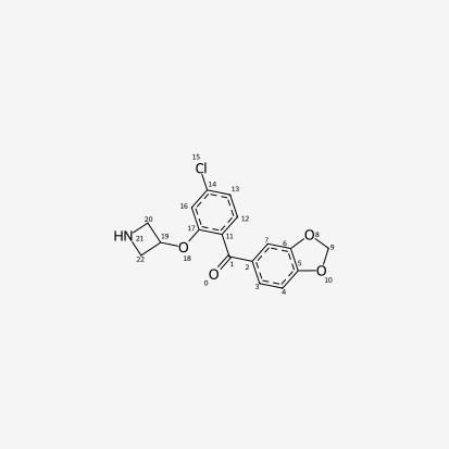 O=C(c1ccc2c(c1)OCO2)c1ccc(Cl)cc1OC1CNC1